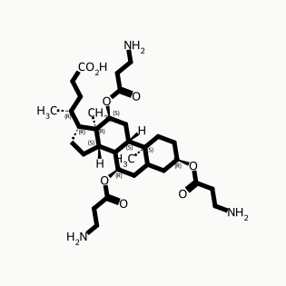 C[C@H](CCC(=O)O)[C@H]1CC[C@H]2C3[C@H](OC(=O)CCN)CC4C[C@H](OC(=O)CCN)CC[C@]4(C)[C@H]3C[C@H](OC(=O)CCN)[C@]12C